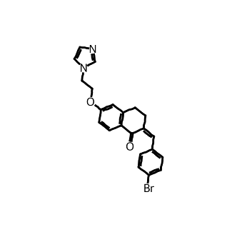 O=C1/C(=C\c2ccc(Br)cc2)CCc2cc(OCCn3ccnc3)ccc21